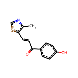 Cc1ncsc1C=CC(=O)c1ccc(O)cc1